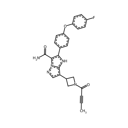 CC#CC(=O)N1CC(c2cnn3c(C(N)=O)c(-c4ccc(Oc5ccc(F)cc5)cc4)[nH]c23)C1